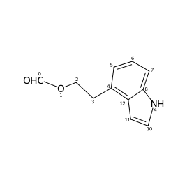 O=COCCc1cccc2[nH]ccc12